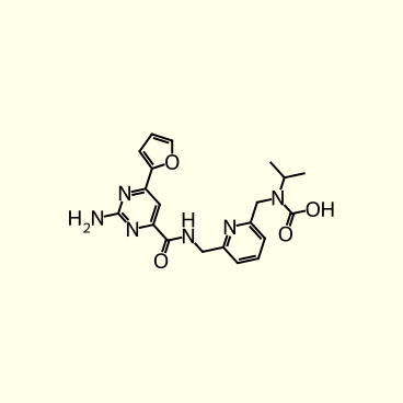 CC(C)N(Cc1cccc(CNC(=O)c2cc(-c3ccco3)nc(N)n2)n1)C(=O)O